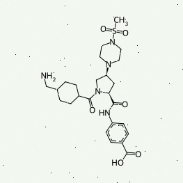 CS(=O)(=O)N1CCN([C@H]2C[C@@H](C(=O)Nc3ccc(C(=O)O)cc3)N(C(=O)C3CCC(CN)CC3)C2)CC1